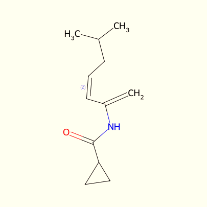 C=C(/C=C\CC(C)C)NC(=O)C1CC1